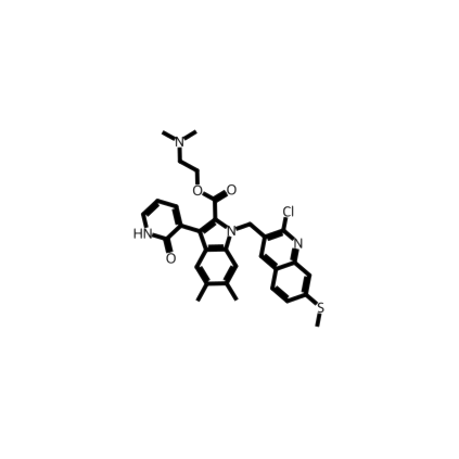 CSc1ccc2cc(Cn3c(C(=O)OCCN(C)C)c(-c4ccc[nH]c4=O)c4cc(C)c(C)cc43)c(Cl)nc2c1